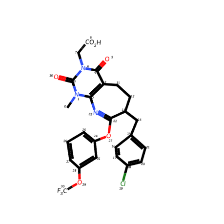 Cn1c2c(c(=O)n(CC(=O)O)c1=O)CCC(Cc1ccc(Cl)cc1)C(Oc1cccc(OC(F)(F)F)c1)=N2